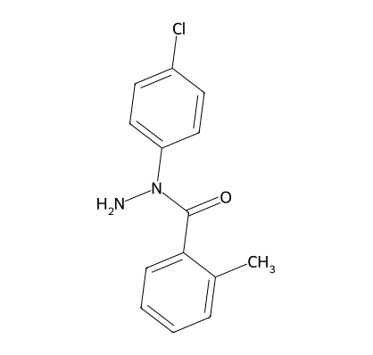 Cc1ccccc1C(=O)N(N)c1ccc(Cl)cc1